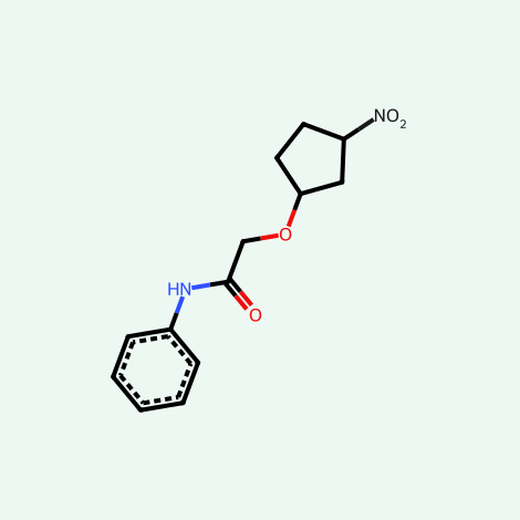 O=C(COC1CCC([N+](=O)[O-])C1)Nc1ccccc1